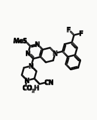 CSc1nc2c(c(N3CCN(C(=O)O)C(CC#N)C3)n1)CCN(c1cc(C(F)F)cc3ccccc13)C2